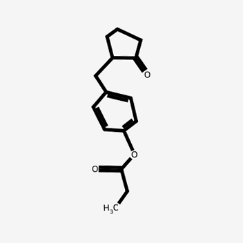 CCC(=O)Oc1ccc(CC2CCCC2=O)cc1